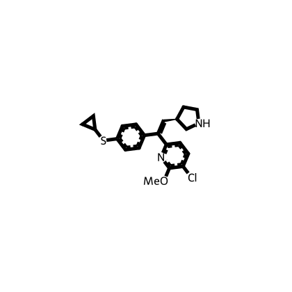 COc1nc(/C(=C\[C@H]2CCNC2)c2ccc(SC3CC3)cc2)ccc1Cl